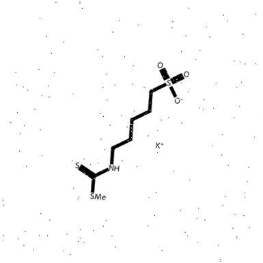 CSC(=S)NCCCCCS(=O)(=O)[O-].[K+]